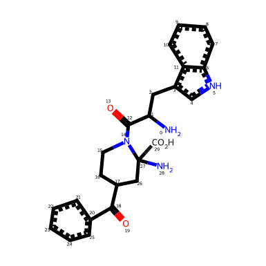 NC(Cc1c[nH]c2ccccc12)C(=O)N1CCC(C(=O)c2ccccc2)CC1(N)C(=O)O